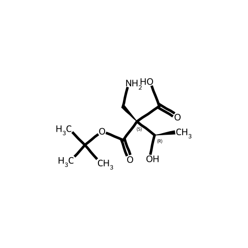 C[C@@H](O)[C@@](CN)(C(=O)O)C(=O)OC(C)(C)C